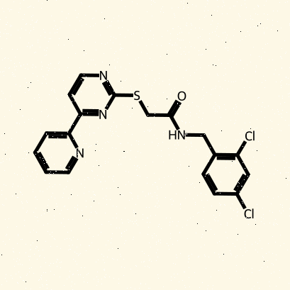 O=C(CSc1nccc(-c2ccccn2)n1)NCc1ccc(Cl)cc1Cl